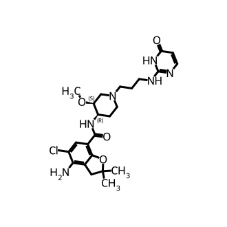 CO[C@H]1CN(CCCNc2nccc(=O)[nH]2)CC[C@H]1NC(=O)c1cc(Cl)c(N)c2c1OC(C)(C)C2